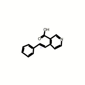 O=C(O)c1cnccc1/C=C/c1ccccc1